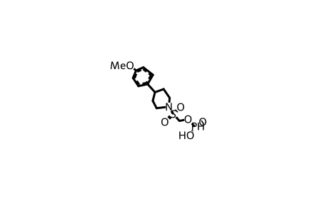 COc1ccc(C2CCN(S(=O)(=O)CO[PH](=O)O)CC2)cc1